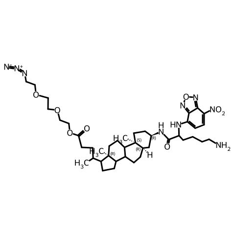 CC(CCC(=O)OCCOCCOCCN=[N+]=[N-])C1CCC2C3CC[C@@H]4C[C@H](NC(=O)C(CCCCN)Nc5ccc([N+](=O)[O-])c6nonc56)CC[C@]4(C)C3CC[C@]12C